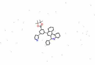 CC1(C)OB(c2cc(-c3cccnc3)cc(-c3cc4c(-c5ccccc5)nc5ccccc5c4c4ccccc34)c2)OC1(C)C